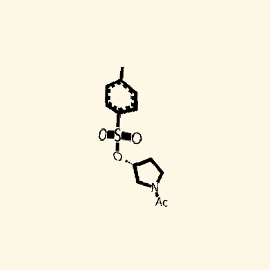 CC(=O)N1CC[C@@H](OS(=O)(=O)c2ccc(C)cc2)C1